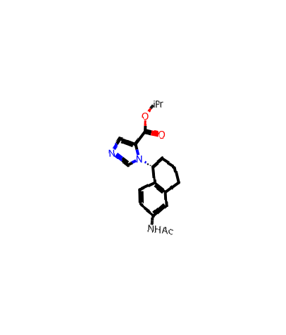 CC(=O)Nc1ccc2c(c1)CCC[C@H]2n1cncc1C(=O)OC(C)C